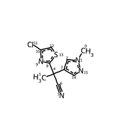 Cn1cc(C(C)(C#N)c2nc(Cl)cs2)cn1